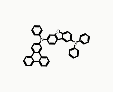 c1ccc(N(c2ccccc2)c2ccc3oc4cc(N(c5ccccc5)c5ccc6c7ccccc7c7ccccc7c6c5)ccc4c3c2)cc1